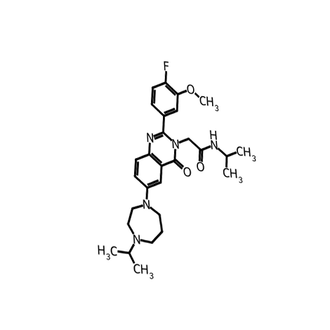 COc1cc(-c2nc3ccc(N4CCCN(C(C)C)CC4)cc3c(=O)n2CC(=O)NC(C)C)ccc1F